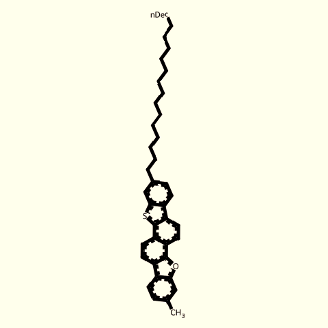 CCCCCCCCCCCCCCCCCCCCCCCCc1ccc2c(c1)sc1c2ccc2c1ccc1c3ccc(C)cc3oc12